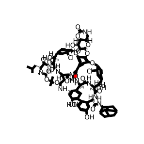 CC(C)C[C@H](C(=O)N[C@H]1C(=O)N[C@@H](CC(N)=O)C(=O)N[C@H]2C(=O)N[C@H]3C(=O)N[C@H](C(=O)N[C@H](C(=O)NC4C5CC6CC(C5)CC4C6)c4cc(O)cc(O)c4-c4cc3ccc4O)[C@H](O)c3ccc(c(Cl)c3)Oc3cc2cc(c3O[C@@H]2O[C@@H]3CNC(=O)O[C@H]3[C@H](O)[C@H]2O)Oc2ccc(cc2Cl)[C@H]1O)N(C)C(=O)OC(C)(C)C